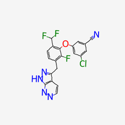 N#Cc1cc(Cl)cc(Oc2c(C(F)F)ccc(Cc3n[nH]c4nnccc34)c2F)c1